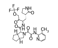 Cc1cccnc1NC(=O)C(=O)N1C[C@@H]2CCC[C@@H]2[C@H]1C(=O)NC(C[C@@H]1CCNC1=O)C(=O)COC(F)(F)F